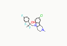 CN1CCc2c(c3cc(Cl)ccc3n2CC(O)(c2ccc(F)cc2)C(C)(F)F)C1